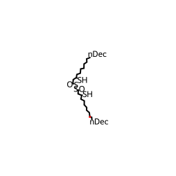 CCCCCCCCCCCCCCCCCCC(S)CC(=O)SSC(=O)CC(S)CCCCCCCCCCCCCCCCCC